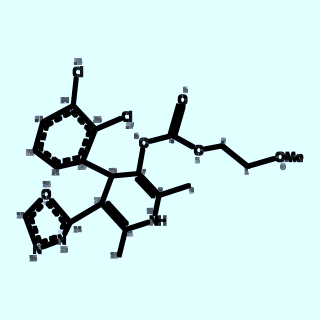 COCCOC(=O)OC1=C(C)NC(C)=C(c2nnco2)C1c1cccc(Cl)c1Cl